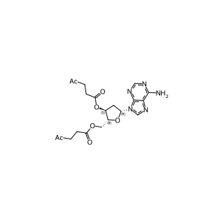 CC(=O)CCC(=O)OC[C@H]1O[C@@H](n2cnc3c(N)ncnc32)C[C@@H]1OC(=O)CCC(C)=O